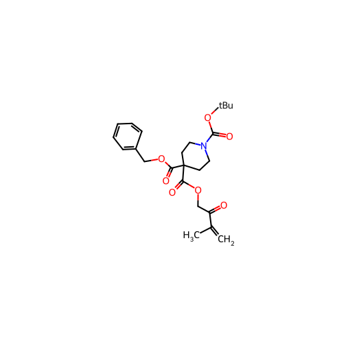 C=C(C)C(=O)COC(=O)C1(C(=O)OCc2ccccc2)CCN(C(=O)OC(C)(C)C)CC1